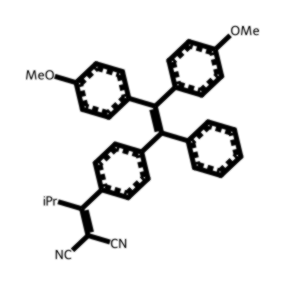 COc1ccc(C(=C(c2ccccc2)c2ccc(C(=C(C#N)C#N)C(C)C)cc2)c2ccc(OC)cc2)cc1